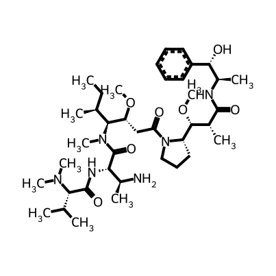 CC[C@H](C)[C@@H]([C@@H](CC(=O)N1CCC[C@H]1[C@H](OC)[C@@H](C)C(=O)N[C@H](C)[C@@H](O)c1ccccc1)OC)N(C)C(=O)[C@@H](NC(=O)[C@H](C(C)C)N(C)C)[C@H](C)N